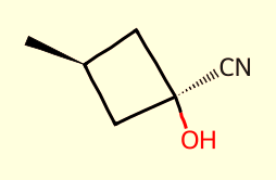 C[C@H]1C[C@](O)(C#N)C1